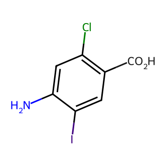 Nc1cc(Cl)c(C(=O)O)cc1I